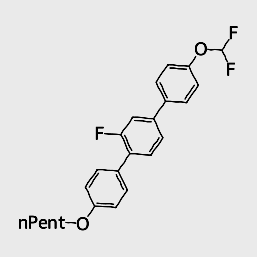 CCCCCOc1ccc(-c2ccc(-c3ccc(OC(F)F)cc3)cc2F)cc1